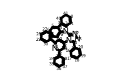 C1=Cc2c(c3ccccc3n2-c2nnc(-c3ccccc3)n2C2=CC(c3ccccc3)=NC(c3ccccc3)C2)CC1